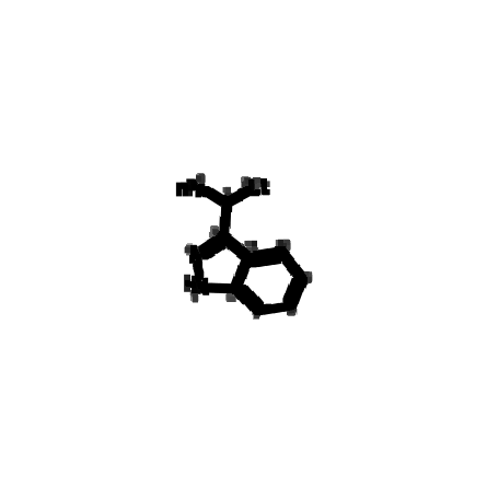 CCCC(CC)c1n[nH]c2ccccc12